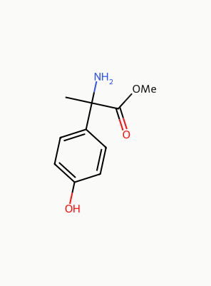 COC(=O)C(C)(N)c1ccc(O)cc1